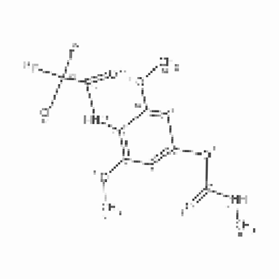 CNC(=O)Oc1cc(OC)c(NC(=O)C(F)(F)Cl)c(OC)c1